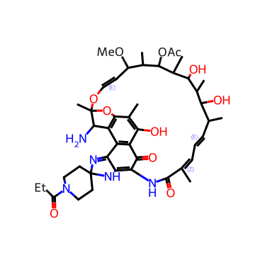 CCC(=O)N1CCC2(CC1)N=C1C(=C3NC(=O)/C(C)=C\C=C\C(C)C(O)C(C)C(O)C(C)C(OC(C)=O)C(C)C(OC)/C=C/OC4(C)Oc5c(C)c(O)c(c1c5C4N)C3=O)N2